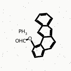 O=COc1cccc2ccc3cc4ccccc4cc3c12.P